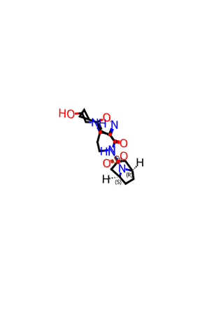 O=C(N[C@H]1C[C@H]2CC[C@@H](C1)N2S(=O)(=O)N1CCC(NCCO)CC1)c1cc(C2CC2)on1